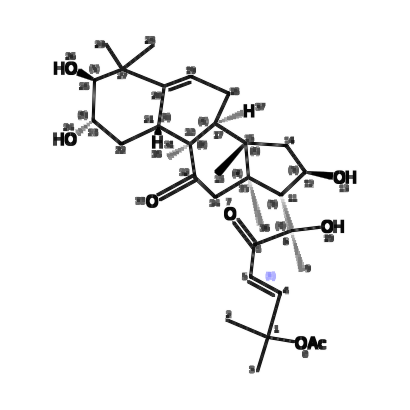 CC(=O)OC(C)(C)/C=C/C(=O)[C@](C)(O)[C@H]1[C@H](O)C[C@@]2(C)[C@@H]3CC=C4[C@@H](C[C@H](O)[C@@H](O)C4(C)C)[C@]3(C)C(=O)C[C@]12C